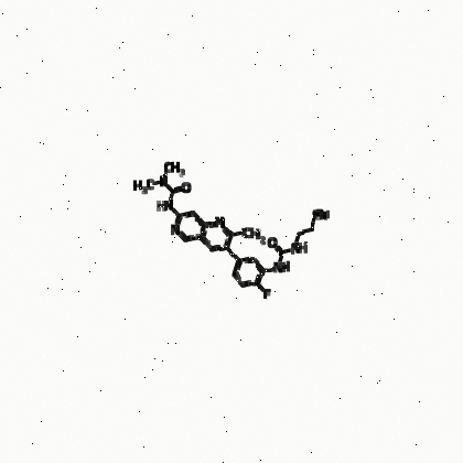 Cc1nc2cc(NC(=O)N(C)C)ncc2cc1-c1ccc(F)c(NC(=O)NCCC(C)(C)C)c1